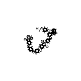 Cc1ccc(Oc2ccc(Oc3ccc(N4C(=O)c5ccc(Oc6ccc(Oc7ccc(Oc8ccc9c(c8)C(=O)N(C)C9=O)cc7)cc6)cc5C4=O)cc3)cc2C23CC4CC(CC(C4)C2)C3)cc1